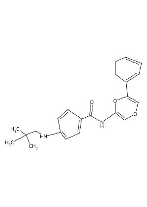 CC(C)(C)CNc1ccc(C(=O)NC2=COC=C(C3=CC=CCC3)O2)cc1